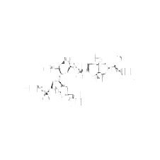 CC1(C)Cc2c(-c3cc(NC(=O)[C@@H]4C[C@H]5C[C@H](C(N)=O)C[C@H]5C4)ncc3Cl)cc(C(N)=O)n2C1